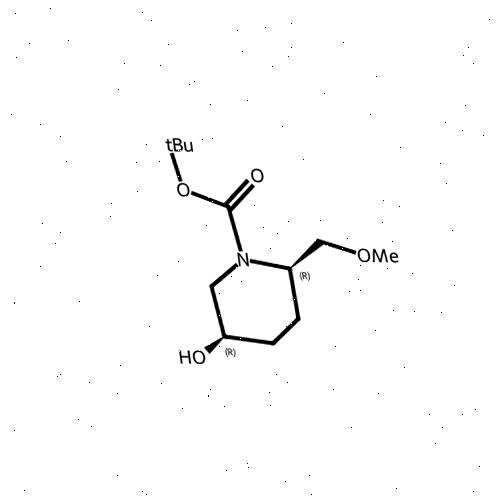 COC[C@H]1CC[C@@H](O)CN1C(=O)OC(C)(C)C